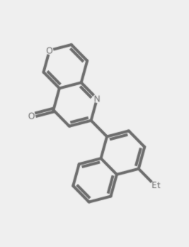 CCc1ccc(-c2cc(=O)c3coccc-3n2)c2ccccc12